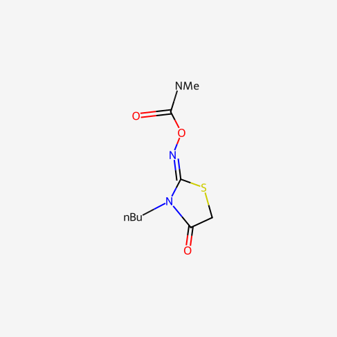 CCCCN1C(=O)CSC1=NOC(=O)NC